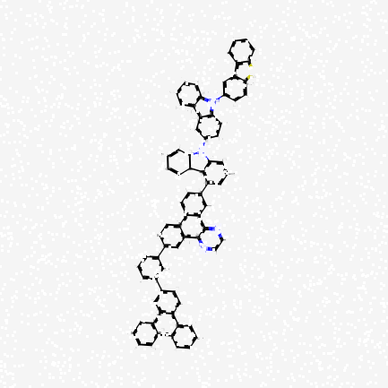 C1=CC2c3c(-c4ccc5c6ccc(-c7cccc(-c8ccc9c%10ccccc%10c%10ccccc%10c9c8)c7)cc6c6nccnc6c5c4)cccc3N(c3ccc4c(c3)c3ccccc3n4-c3ccc4sc5ccccc5c4c3)C2C=C1